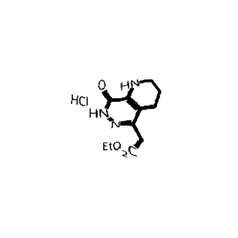 CCOC(=O)Cc1n[nH]c(=O)c2c1CCCN2.Cl